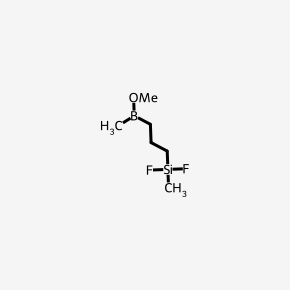 COB(C)CCC[Si](C)(F)F